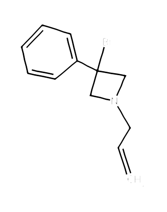 C=CCN1CC(Br)(c2ccccc2)C1